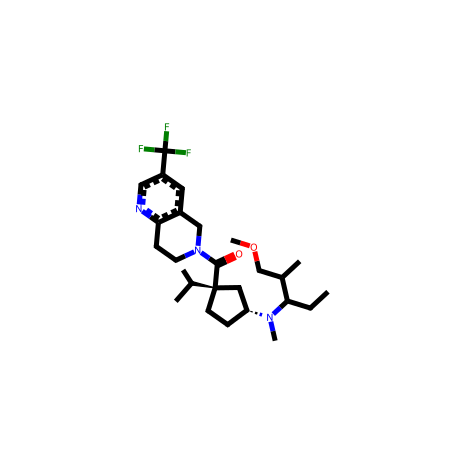 CCC(C(C)COC)N(C)[C@@H]1CC[C@@](C(=O)N2CCc3ncc(C(F)(F)F)cc3C2)(C(C)C)C1